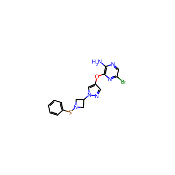 Nc1ncc(Br)nc1Oc1cnn(C2CN(Sc3ccccc3)C2)c1